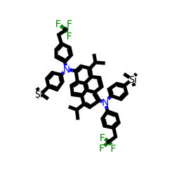 CC(C)c1cc(N(c2ccc(CC(F)(F)F)cc2)c2ccc([Si](C)(C)C)cc2)c2ccc3c(C(C)C)cc(N(c4ccc(CC(F)(F)F)cc4)c4ccc([Si](C)(C)C)cc4)c4ccc1c2c34